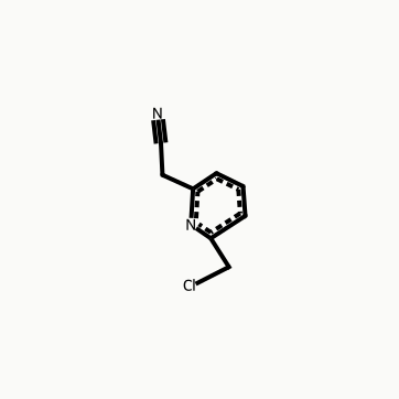 N#CCc1cccc(CCl)n1